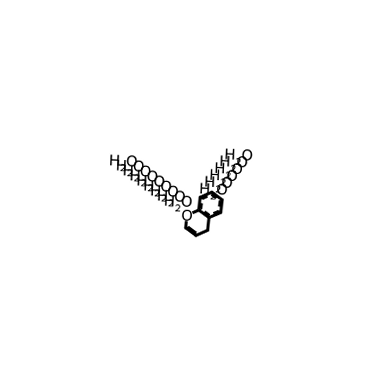 C1=COc2ccccc2C1.O.O.O.O.O.O.O.O.O.O.O.O.O.O.O